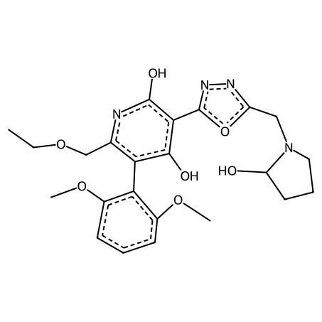 CCOCc1nc(O)c(-c2nnc(CN3CCCC3O)o2)c(O)c1-c1c(OC)cccc1OC